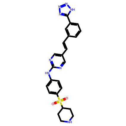 O=S(=O)(c1ccc(Nc2ncc(/C=C/c3cccc(-c4nnn[nH]4)c3)cn2)cc1)C1CCNCC1